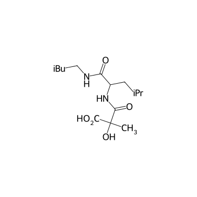 CCC(C)CNC(=O)C(CC(C)C)NC(=O)C(C)(O)C(=O)O